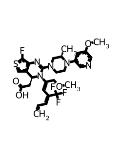 C=C/C=C(\C=C(/COC)N1C(N2CCN(c3cncc(OC)c3)[C@H](C)C2)=Nc2c(csc2F)[C@@H]1CC(=O)O)C(F)(F)F